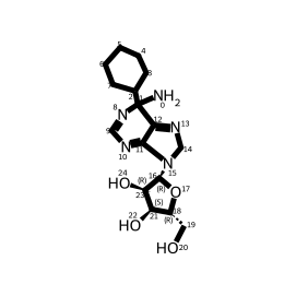 NC1(C2CCCCC2)N=CN=C2C1=NCN2[C@@H]1O[C@H](CO)[C@@H](O)[C@H]1O